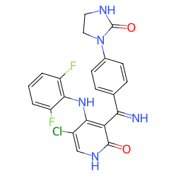 N=C(c1ccc(N2CCNC2=O)cc1)c1c(Nc2c(F)cccc2F)c(Cl)c[nH]c1=O